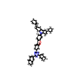 c1ccc(-c2ccc3c(c2)c2cc(-c4ccccc4)ccc2n3-c2ccc3c(c2)oc2cc(-c4nc(-c5ccc6ccccc6c5)nc(-c5ccc6ccccc6c5)n4)ccc23)cc1